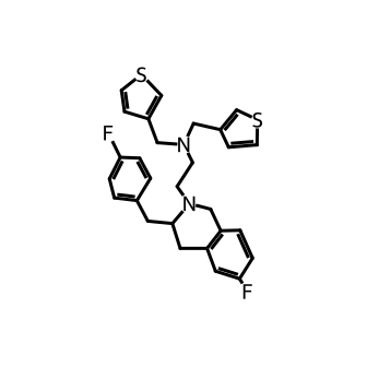 Fc1ccc(CC2Cc3cc(F)ccc3CN2CCN(Cc2ccsc2)Cc2ccsc2)cc1